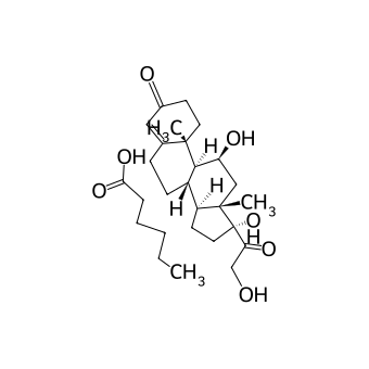 CCCCCC(=O)O.C[C@]12CCC(=O)C=C1CC[C@@H]1[C@@H]2[C@@H](O)C[C@@]2(C)[C@H]1CC[C@]2(O)C(=O)CO